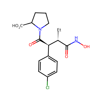 CC[C@H](C(=O)NO)[C@H](C(=O)N1CCCC1C(=O)O)c1ccc(Cl)cc1